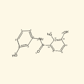 O=C(Nc1cccc(O)c1)c1cccc(O)c1O